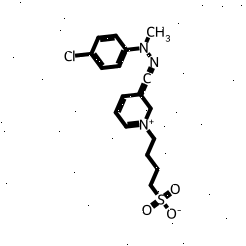 CN(N=C=C1C=CC=[N+](CCCCS(=O)(=O)[O-])C1)c1ccc(Cl)cc1